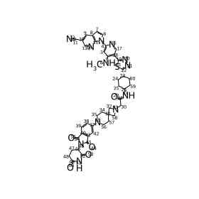 CNc1cc(-n2ccc3cc(C#N)cnc32)ncc1-c1nnc([C@H]2CC[C@H](NC(=O)CN3CC4(CCN(c5ccc6c(c5)C(=O)N(C5CCC(=O)NC5=O)C6=O)CC4)C3)CC2)s1